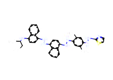 CCC(C)Nc1ccc(NNc2ccc(NNc3cc(C)c(NNc4nccs4)cc3C)c3ccccc23)c2ccccc12